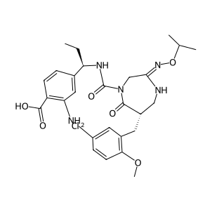 CC[C@@H](NC(=O)N1C/C(=N/OC(C)C)NC[C@H](Cc2cc(Cl)ccc2OC)C1=O)c1ccc(C(=O)O)c(N)c1